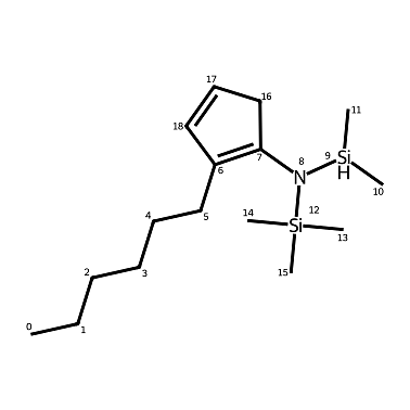 CCCCCCC1=C(N([SiH](C)C)[Si](C)(C)C)CC=C1